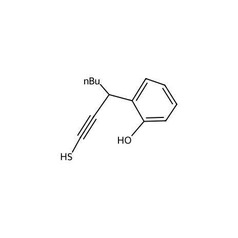 CCCCC(C#CS)c1ccccc1O